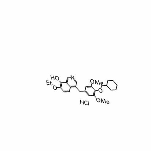 CCOc1ccc2c(Cc3cc(OC)c(OCC4CCCCC4)c(OC)c3)cncc2c1O.Cl